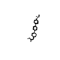 CCOc1ccc(-c2ccc(C3=CCC(CC(C)CC)CC3)cc2)cc1